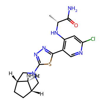 CC(=O)N[C@@H]1[C@@H]2CC[C@H]1CN(c1nnc(-c3cnc(Cl)cc3N[C@H](C)C(N)=O)s1)C2